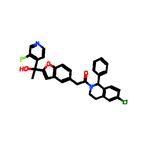 CC(O)(c1cc2cc(CC(=O)N3CCc4cc(Cl)ccc4C3c3ccccc3)ccc2o1)c1ccncc1F